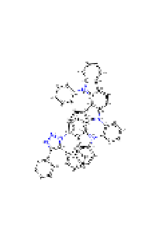 c1ccc(-c2nnn(-c3cccc4c3c3ccccc3n4-c3ccccc3-n3c4ccccc4c4c3ccc3c5ccccc5n(-c5ccccc5)c34)c2-c2ccccc2)cc1